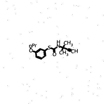 C#CC(C)(C)NC(=O)Sc1cccc(OCCC)c1